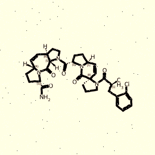 C[C@@H](Cc1ccccc1Cl)C(=O)N1CCC[C@]12C=C[C@@H]1CC[C@@H](C(=O)N3CC[C@@H]4C=C[C@H]5CC[C@@H](C(N)=O)N5C(=O)[C@H]43)N1C2=O